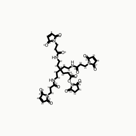 O=C(CCN1C(=O)C=CC1=O)NCCC(CCNC(=O)CCN1C(=O)C=CC1=O)(CCNC(=O)CCN1C(=O)C=CC1=O)CCC(=O)ON1C(=O)CCC1=O